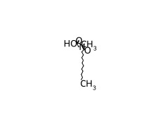 CCCCCCCCCCCCC(=O)N(C)CC(=O)O